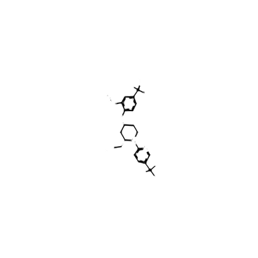 CC[C@H]1C[C@@H](Oc2ccc(C(F)(F)F)cc2ON)CCN1c1ccc(C(F)(F)F)cn1